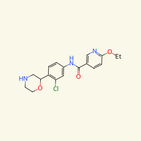 CCOc1ccc(C(=O)Nc2ccc(C3CNCCO3)c(Cl)c2)cn1